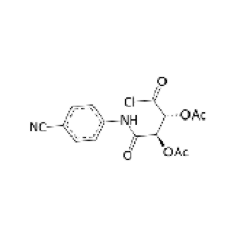 CC(=O)O[C@@H](C(=O)Cl)[C@@H](OC(C)=O)C(=O)Nc1ccc(C#N)cc1